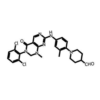 Cc1cc(Nc2ncc3c(n2)N(C)CN(c2c(Cl)cccc2Cl)C3=O)ccc1N1CCC(C=O)CC1